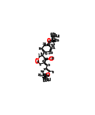 C/C(=C\C=C1/COCC(c2ccc(O[Si](C)(C)C(C)(C)C)cc2)C1=O)O[Si](C)(C)C(C)(C)C